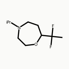 CC(C)N1CCOC(C(C)(F)F)CC1